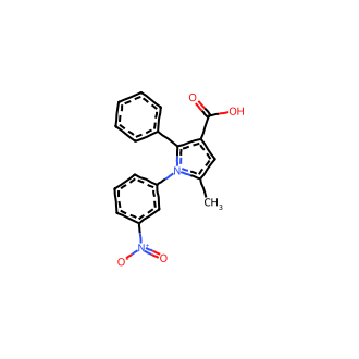 Cc1cc(C(=O)O)c(-c2ccccc2)n1-c1cccc([N+](=O)[O-])c1